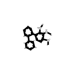 COc1ccc(-c2ccccc2-c2ccccc2)c(OC)c1OC